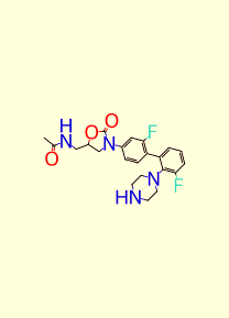 CC(=O)NCC1CN(c2ccc(-c3cccc(F)c3N3CCNCC3)c(F)c2)C(=O)O1